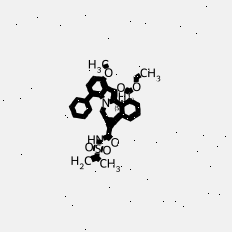 C=C(C)S(=O)(=O)NC(=O)C1=C2Cn3c(cc4c(OC)ccc(C5CCCCC5)c43)[C@@H]3C(=C21)C=CC[C@H]3C(=O)OCC